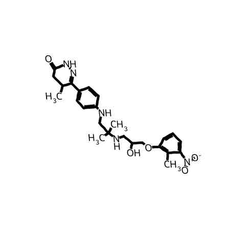 Cc1c(OCC(O)CNC(C)(C)CNc2ccc(C3=NNC(=O)CC3C)cc2)cccc1[N+](=O)[O-]